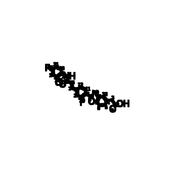 O=C(O)Cc1ccc2oc(-c3ccc(C=CC(=O)Nc4ccc(F)cc4Cl)cc3F)nc2c1